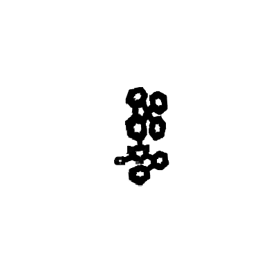 Clc1nc(-c2ccc3c(c2)C(c2ccccc2)(c2ccccc2)c2ccccc2-3)nc(-c2ccccc2-c2ccccc2)n1